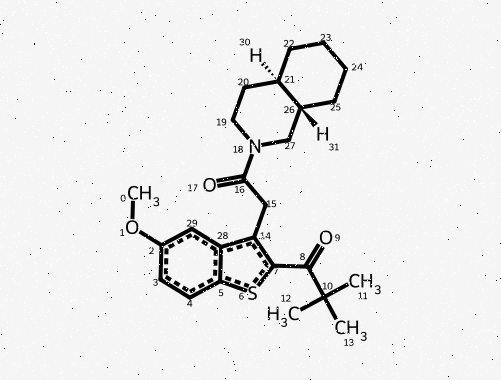 COc1ccc2sc(C(=O)C(C)(C)C)c(CC(=O)N3CC[C@H]4CCCC[C@@H]4C3)c2c1